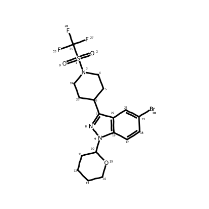 O=S(=O)(N1CCC(c2nn(C3CCCCO3)c3ccc(Br)cc23)CC1)C(F)(F)F